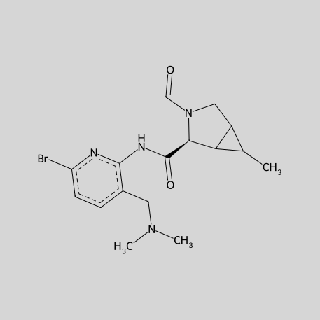 CC1C2CN(C=O)[C@H](C(=O)Nc3nc(Br)ccc3CN(C)C)C12